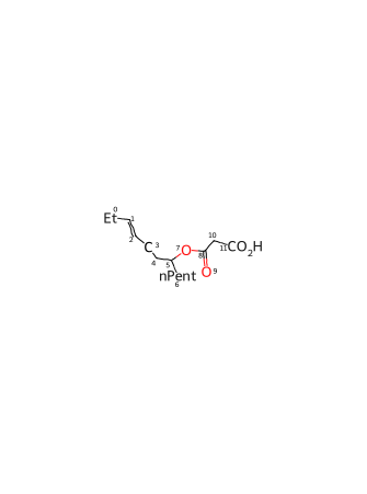 CCC=CCCC(CCCCC)OC(=O)CC(=O)O